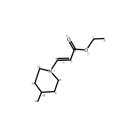 CCOC(=O)/C=C/N1CCC(C)CC1